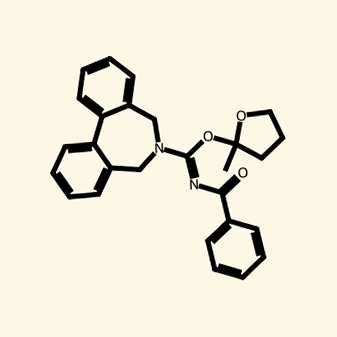 CC1(OC(=NC(=O)c2ccccc2)N2Cc3ccccc3-c3ccccc3C2)CCCO1